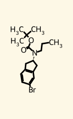 CCCN(C(=O)OC(C)(C)C)[C@H]1Cc2ccc(Br)cc2C1